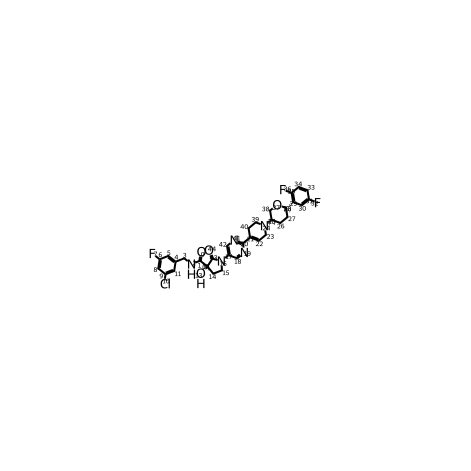 O=C(NCc1cc(F)cc(Cl)c1)[C@@]1(O)CCN(c2cnc(C3=CCN([C@@H]4CC[C@@H](c5cc(F)ccc5F)OC4)CC3)nc2)C1=O